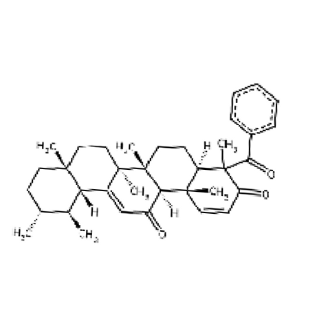 C[C@H]1[C@H](C)CC[C@]2(C)CC[C@]3(C)C(=CC(=O)[C@@H]4[C@@]5(C)C=CC(=O)C(C)(C(=O)c6ccccc6)[C@@H]5CC[C@]43C)[C@H]12